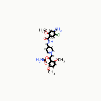 COc1ccc(OC)c(C(CN2CCC(CNC(=O)c3cc(Cl)c(N)cc3OC)CC2)OC(N)=O)c1